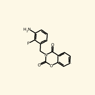 Nc1cccc(Cn2c(=O)oc3c[c]ccc3c2=O)c1F